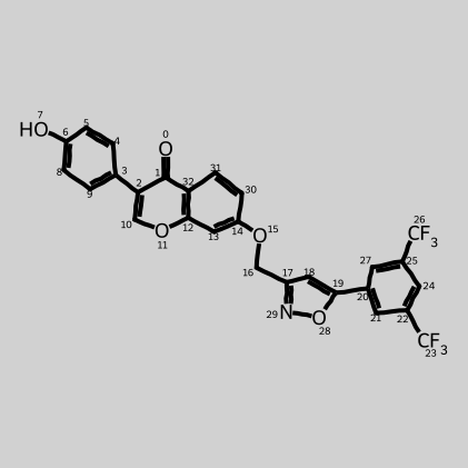 O=c1c(-c2ccc(O)cc2)coc2cc(OCc3cc(-c4cc(C(F)(F)F)cc(C(F)(F)F)c4)on3)ccc12